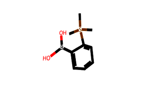 CS(C)(C)c1ccccc1B(O)O